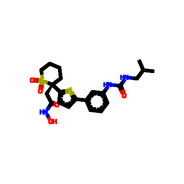 CC(C)CNC(=O)Nc1cccc(-c2ccc([C@@]3(CC(=O)NO)CCCCS3(=O)=O)s2)c1